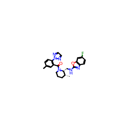 Cc1ccc(-n2nccn2)c(C(=O)N2CCC[C@@H](C)[C@H]2CNc2nc3ccc(F)cc3o2)c1